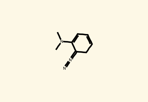 CN(C)C1=CC=CCC1=[N+]=[N-]